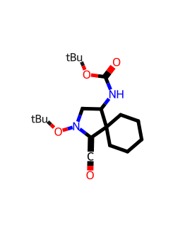 CC(C)(C)OC(=O)NC1CN(OC(C)(C)C)C(=C=O)C12CCCCC2